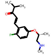 CNC[C@@H](C)Oc1ccc(F)c(/C=C/C(=O)C(C)C)c1